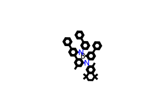 Cc1cc2c3c(c1)N(c1cc4c(cc1C)C(C)(C)CCC4(C)C)c1ccc(-c4ccccc4)cc1B3N(c1cccc(-c3ccccc3)c1)c1cc(-c3ccccc3)ccc1-2